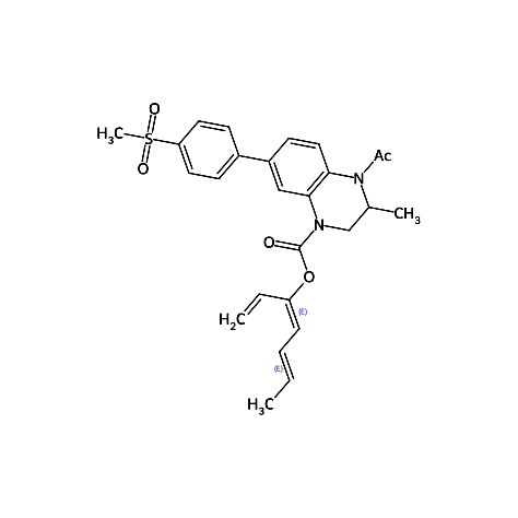 C=C/C(=C\C=C\C)OC(=O)N1CC(C)N(C(C)=O)c2ccc(-c3ccc(S(C)(=O)=O)cc3)cc21